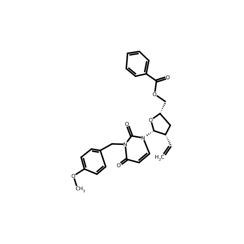 C=C[C@H]1C[C@@H](COC(=O)c2ccccc2)O[C@H]1n1ccc(=O)n(Cc2ccc(OC)cc2)c1=O